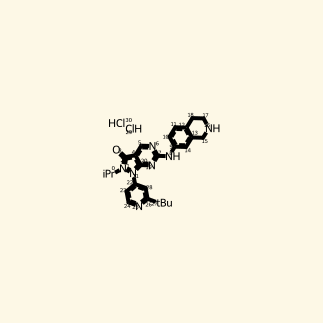 CC(C)n1c(=O)c2cnc(Nc3ccc4c(c3)CNCC4)nc2n1-c1ccnc(C(C)(C)C)c1.Cl.Cl